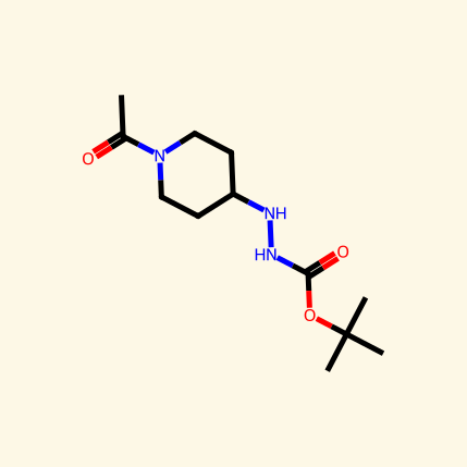 CC(=O)N1CCC(NNC(=O)OC(C)(C)C)CC1